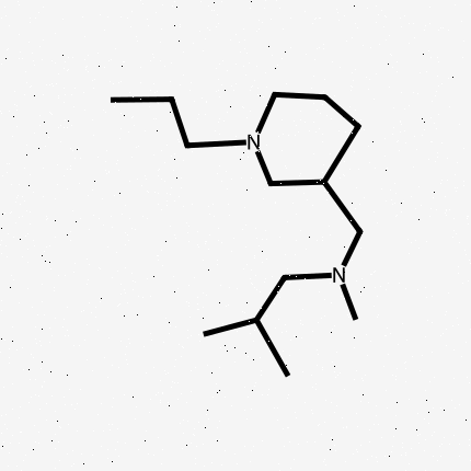 CCCN1CCCC(CN(C)CC(C)C)C1